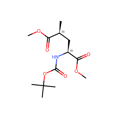 COC(=O)[C@H](C[C@H](C)C(=O)OC)NC(=O)OC(C)(C)C